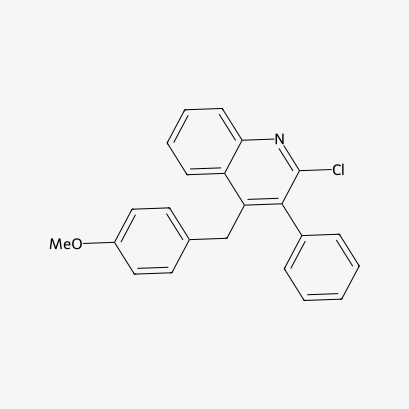 COc1ccc(Cc2c(-c3ccccc3)c(Cl)nc3ccccc23)cc1